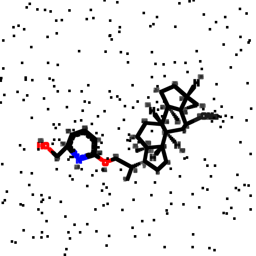 COC1C[C@H]2[C@@H]3CC[C@H](C(C)COc4cccc(CO)n4)[C@@]3(C)CC[C@@H]2[C@@]2(C)CC[C@@H]3C[C@@]132